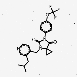 CC(C)Cc1cnccc1CN1C(=O)N(c2ccc(OC(F)(F)F)cc2)C(=O)C12CC2